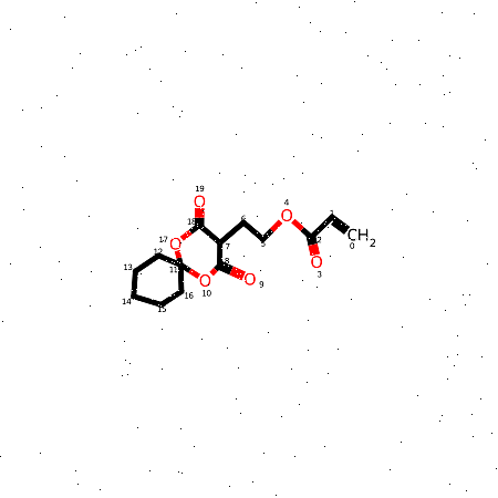 C=CC(=O)OCCC1C(=O)OC2(CCCCC2)OC1=O